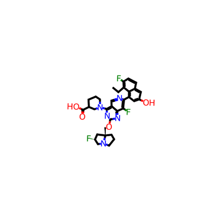 CCc1c(F)ccc2cc(O)cc(-c3ncc4c(N5CCCC(C(=O)O)C5)nc(OC[C@@]56CCCN5C[C@H](F)C6)nc4c3F)c12